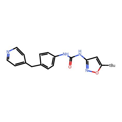 CC(C)(C)c1cc(NC(=O)Nc2ccc(Cc3ccncc3)cc2)no1